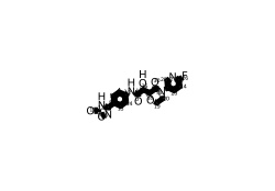 O=C(Nc1ccc(-c2noc(=O)[nH]2)cc1)[C@H](O)[C@H]1OCCN(c2ccc(F)nc2)C1=O